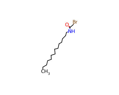 CCCCCCCCCCCCCCNC(=O)CBr